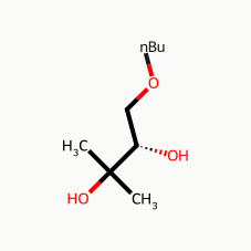 CCCCOC[C@H](O)C(C)(C)O